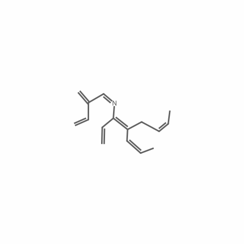 C=CC(=C)\C=N/C(C=C)=C(/C=C\C)C/C=C\C